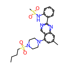 CCCCS(=O)(=O)N1CCN(c2cc(C)cc3nc(-c4ccccc4NS(C)(=O)=O)ncc23)CC1